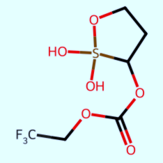 O=C(OCC(F)(F)F)OC1CCOS1(O)O